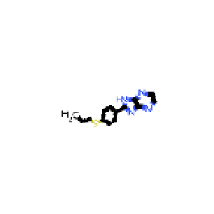 C=CCSc1ccc(-c2nc3nccnc3[nH]2)cc1